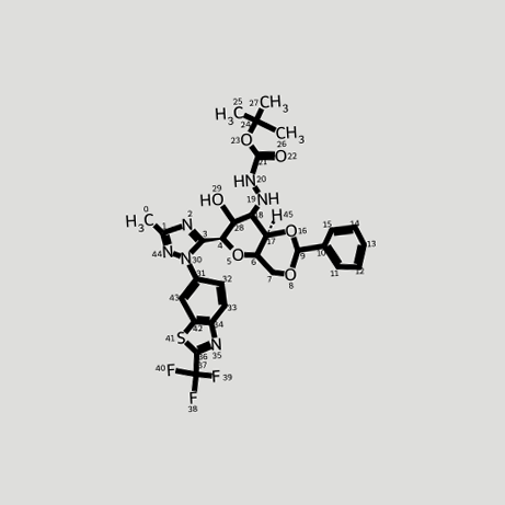 Cc1nc([C@@H]2OC3COC(c4ccccc4)O[C@@H]3C(NNC(=O)OC(C)(C)C)C2O)n(-c2ccc3nc(C(F)(F)F)sc3c2)n1